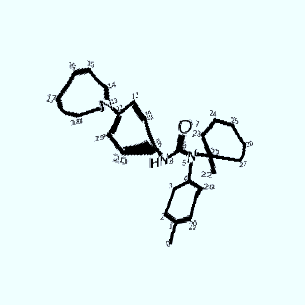 CC1CCC(N(C(=O)Nc2ccc(N3CCCCC3)cc2)C2(C)CCCCC2)CC1